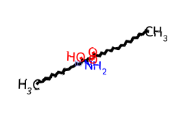 CCCCCCCCCCCCC/C=C/C(O)C(N)COC(=O)CCCCCCCCCCCCCCCCC